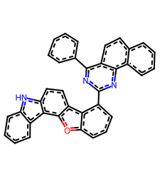 c1ccc(-c2nc(-c3cccc4oc5c(ccc6[nH]c7ccccc7c65)c34)nc3c2ccc2ccccc23)cc1